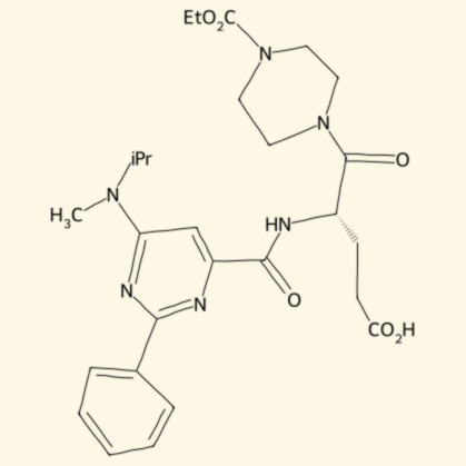 CCOC(=O)N1CCN(C(=O)[C@H](CCC(=O)O)NC(=O)c2cc(N(C)C(C)C)nc(-c3ccccc3)n2)CC1